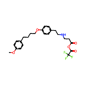 COc1ccc(CCCCOc2ccc(CCNCCC(=O)OC(=O)C(F)(F)F)cc2)cc1